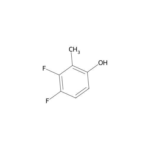 Cc1c(O)ccc(F)c1F